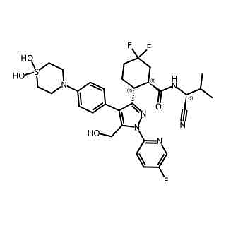 CC(C)[C@@H](C#N)NC(=O)[C@@H]1CC(F)(F)CC[C@H]1c1nn(-c2ccc(F)cn2)c(CO)c1-c1ccc(N2CCS(O)(O)CC2)cc1